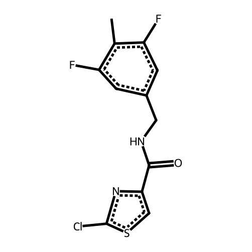 Cc1c(F)cc(CNC(=O)c2csc(Cl)n2)cc1F